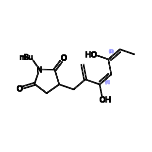 C=C(CC1CC(=O)N(CCCC)C1=O)/C(O)=C\C(O)=C/C